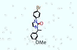 COc1cccc(C(C)n2ccn(-c3ccc(Br)cc3)c2=O)c1